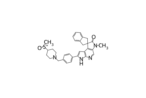 CN1C(=O)C2(Cc3ccccc3C2)c2c1cnc1[nH]c(-c3ccc(CN4CCC([S+](C)[O-])CC4)cc3)cc21